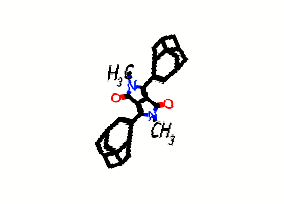 CN1C(=O)C2=C(C34CC5CC6CC(C3)C6(C5)C4)N(C)C(=O)C2=C1C12CC3CC4CC(C1)C4(C3)C2